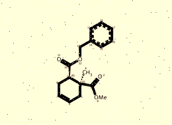 COC(=O)[C@@]1(C)CC=CC[C@H]1C(=O)OCc1ccccc1